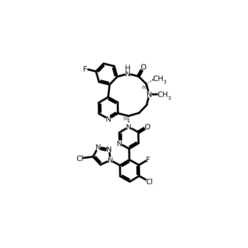 C[C@H]1C(=O)Nc2ccc(F)cc2-c2ccnc(c2)[C@@H](n2cnc(-c3c(-n4cc(Cl)nn4)ccc(Cl)c3F)cc2=O)CCN1C